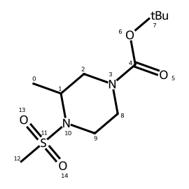 CC1CN(C(=O)OC(C)(C)C)CCN1S(C)(=O)=O